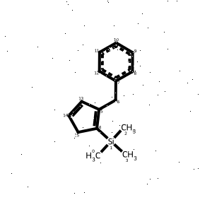 C[Si](C)(C)C1=C(Cc2ccccc2)C=CC1